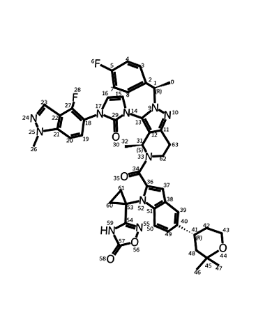 C[C@H](c1ccc(F)cc1)n1nc2c(c1-n1ccn(-c3ccc4c(cnn4C)c3F)c1=O)[C@H](C)N(C(=O)c1cc3cc([C@@H]4CCOC(C)(C)C4)ccc3n1C1(c3noc(=O)[nH]3)CC1)CC2